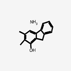 Cc1cc2c(c(O)c1C)Cc1ccccc1-2.N